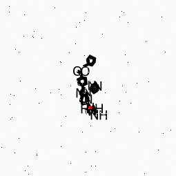 O=C(OCc1ccccc1)c1ccc(-c2nc3ccc(N4C[C@H]5C[C@@H]4CN5)nc3n2-c2ccncn2)cc1